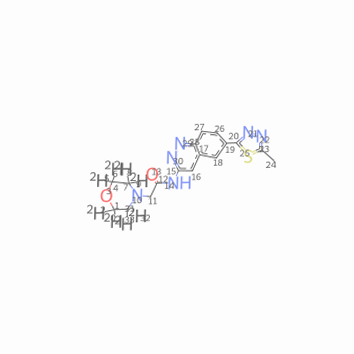 [2H]C1([2H])OC([2H])([2H])C([2H])([2H])N(CC(=O)Nc2cc3cc(-c4nnc(C)s4)ccc3nn2)C1([2H])[2H]